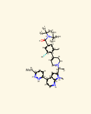 [2H]C([2H])([2H])N(C(=O)c1cc(C)c(C2=CCN([C@@H](C)c3cc4c(-c5ccc(NC)nn5)ccnc4n3C)CC2)c(F)c1)C([2H])([2H])[2H]